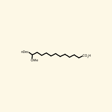 CCCCCCCCCCC(CCCCCCCCCCC(=O)O)OC